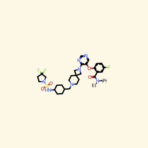 CCN(C(=O)c1cc(F)ccc1Oc1cncnc1N1CC2(CCN(CC3CCC(NS(=O)(=O)N4CCC(F)(F)C4)CC3)CC2)C1)C(C)C